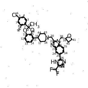 CC1(c2ccc(Cl)cc2F)Oc2cccc(C3CCN(Cc4nc5cc(-c6nnc(C(F)F)[nH]6)ccc5n4C[C@@H]4CCO4)CC3)c2O1